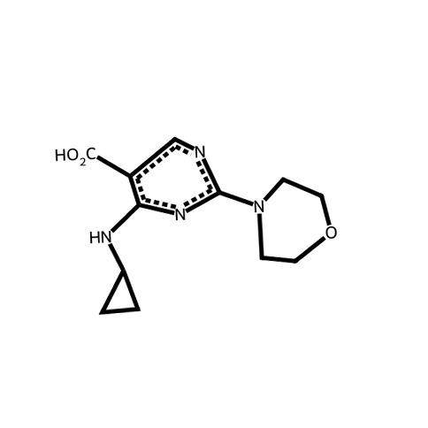 O=C(O)c1cnc(N2CCOCC2)nc1NC1CC1